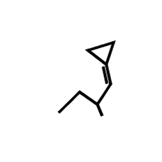 CCC(C)C=C1CC1